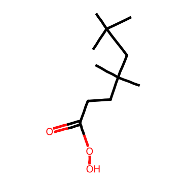 CC(C)(C)CC(C)(C)CCC(=O)OO